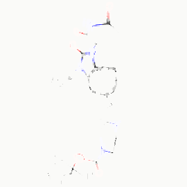 CN1CCN(C(=O)OC(C)(C)C)C[C@@H]1CCc1ccc2c(c1)n(C)c(=O)n2C1CCC(=O)NC1=O